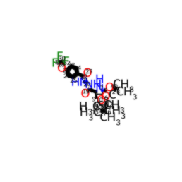 CC(C)(C)OC(=O)N[C@@H](CO[Si](C)(C)C(C)(C)C)C(=O)NNC(=O)c1ccc(OC(F)(F)F)cc1